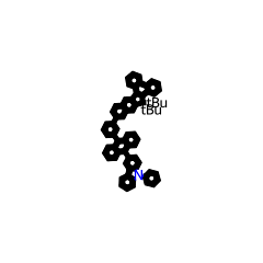 CC(C)(C)C1(C(C)(C)C)c2cc3cc(-c4cccc(-c5c6ccccc6c(-c6ccc7c(c6)c6ccccc6n7-c6ccccc6)c6ccccc56)c4)ccc3cc2-c2c1c1ccccc1c1ccccc21